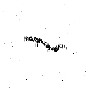 CC(F)(F)Oc1cccc(CNC(=O)c2cn(CC(F)CCn3cc(NC(=O)Cc4cccc(OC(F)(F)F)c4)nn3)nn2)c1